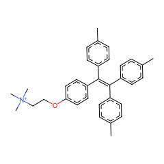 Cc1ccc(C(=C(c2ccc(C)cc2)c2ccc(OCC[N+](C)(C)C)cc2)c2ccc(C)cc2)cc1